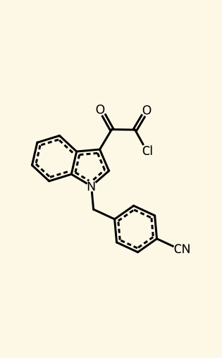 N#Cc1ccc(Cn2cc(C(=O)C(=O)Cl)c3ccccc32)cc1